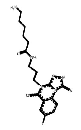 NCCCCCC(=O)NCCCn1c(=O)c2cc(F)ccc2n2c(=S)[nH]nc12